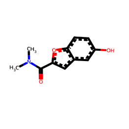 CN(C)C(=O)c1cc2cc(O)ccc2o1